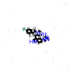 CCC(c1c[nH]c2ccc(-n3cnnc3)cc12)C1CNCCN1C(C)Cc1ccc(F)cc1